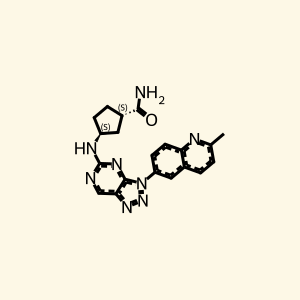 Cc1ccc2cc(-n3nnc4cnc(N[C@H]5CC[C@H](C(N)=O)C5)nc43)ccc2n1